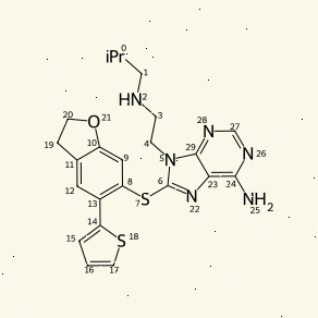 CC(C)CNCCn1c(Sc2cc3c(cc2-c2cccs2)CCO3)nc2c(N)ncnc21